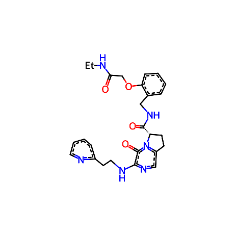 CCNC(=O)COc1ccccc1CNC(=O)[C@@H]1CCc2cnc(NCCc3ccccn3)c(=O)n21